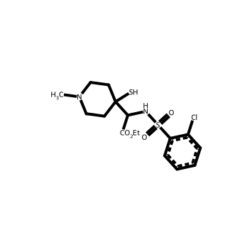 CCOC(=O)C(NS(=O)(=O)c1ccccc1Cl)C1(S)CCN(C)CC1